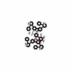 Fc1c(F)c(F)c(-c2cc(-n3c4ccc(-c5cccnc5-c5ccccc5)cc4c4cc(-c5cccnc5-c5ccccc5)ccc43)c(C(F)(F)F)cc2-n2c3ccc(-c4cccnc4-c4ccccc4)cc3c3cc(-c4cccnc4-c4ccccc4)ccc32)c(F)c1F